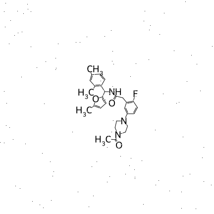 CC(=O)N1CCN(c2ccc(F)c(CC(=O)NC(c3ccc(C)o3)c3ccc(C)cc3C)c2)CC1